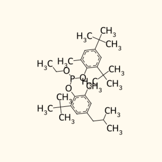 CCOP(Oc1c(C)cc(CC(C)C)cc1C(C)(C)C)Oc1c(C)cc(C(C)(C)C)cc1C(C)(C)C